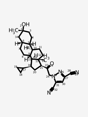 C[C@@]1(O)CC[C@H]2[C@H](CC[C@@H]3[C@@H]2CC[C@@]2(C)[C@H]3[C@H](C3CC3)C[C@@H]2C(=O)Cn2nc(C#N)cc2C#N)C1